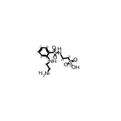 NCCNc1cc[c]cc1S(=O)(=O)NCCS(=O)(=O)O